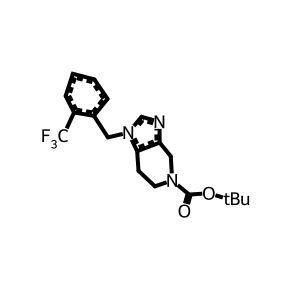 CC(C)(C)OC(=O)N1CCc2c(ncn2Cc2ccccc2C(F)(F)F)C1